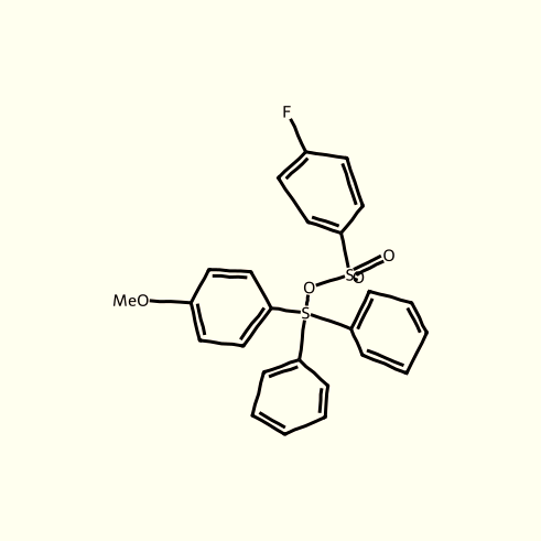 COc1ccc(S(OS(=O)(=O)c2ccc(F)cc2)(c2ccccc2)c2ccccc2)cc1